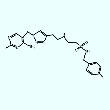 Cc1ncc(Cn2cc(CCNCCS(=O)(=O)NCc3ccc(F)cc3)nn2)c(N)n1